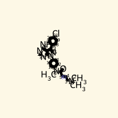 CN(C)C/C=C/C(=O)N(C)c1ccc(-n2nc(-c3ccc(Cl)cc3)c3c(N)ncnc32)cc1